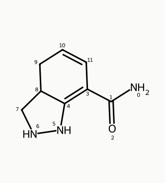 NC(=O)C1=C2NNCC2CC=C1